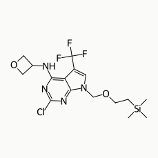 C[Si](C)(C)CCOCn1cc(C(F)(F)F)c2c(NC3COC3)nc(Cl)nc21